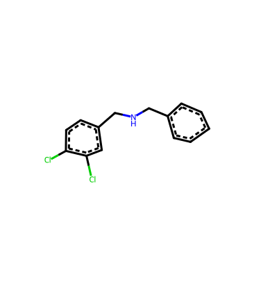 Clc1ccc(CNCc2ccccc2)cc1Cl